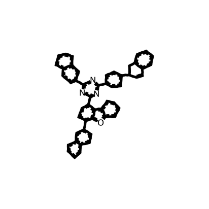 C1=CC(c2ccc(-c3nc(-c4ccc5ccccc5c4)nc(-c4ccc(-c5ccc6ccccc6c5)c5oc6ccccc6c45)n3)cc2)Cc2ccccc21